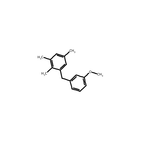 COc1cccc(Cc2cc(C)cc(C)c2C)c1